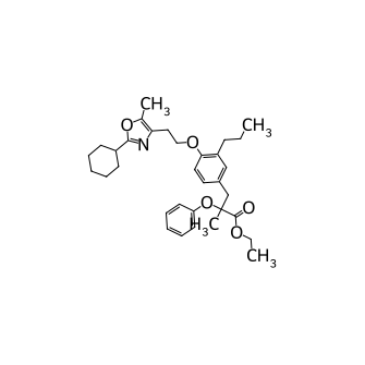 CCCc1cc(CC(C)(Oc2ccccc2)C(=O)OCC)ccc1OCCc1nc(C2CCCCC2)oc1C